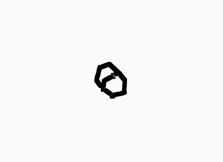 [CH]1CC2CCCN(CC2)O1